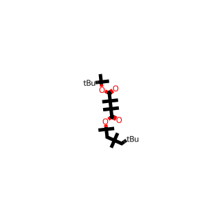 CC(C)(C)CC(C)(C)CC(C)(C)OC(=O)C(C)(C)C(C)(C)C(=O)OC(C)(C)C(C)(C)C